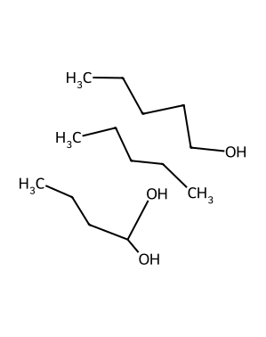 CCCC(O)O.CCCCC.CCCCCO